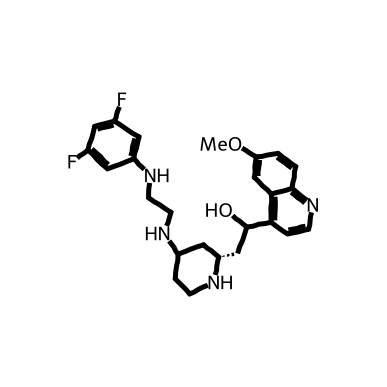 COc1ccc2nccc(C(O)C[C@H]3CC(NCCNc4cc(F)cc(F)c4)CCN3)c2c1